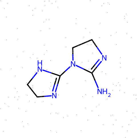 NC1=NCCN1C1=NCCN1